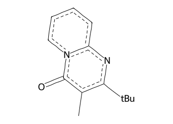 Cc1c(C(C)(C)C)nc2ccccn2c1=O